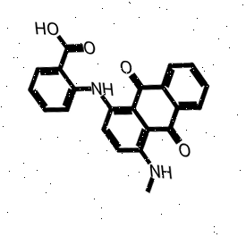 CNc1ccc(Nc2ccccc2C(=O)O)c2c1C(=O)c1ccccc1C2=O